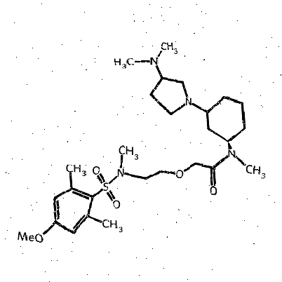 COc1cc(C)c(S(=O)(=O)N(C)CCOCC(=O)N(C)[C@@H]2CCCC(N3CCC(N(C)C)C3)C2)c(C)c1